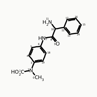 CN(C(=O)O)c1ccc(NC(=O)C(N)c2ccccc2)cc1